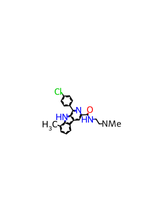 CNCCNC(=O)c1cc2c([nH]c3c(C)cccc32)c(-c2ccc(Cl)cc2)n1